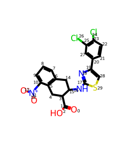 O=C(O)C1Cc2c(cccc2[N+](=O)[O-])CC1Nc1nc(-c2ccc(Cl)c(Cl)c2)cs1